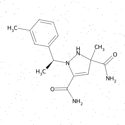 Cc1cccc([C@H](C)N2NC(C)(C(N)=O)C=C2C(N)=O)c1